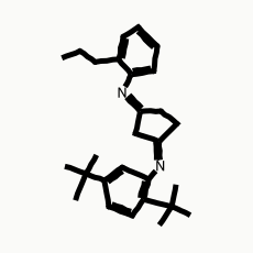 CCCc1ccccc1/N=C1\CC/C(=N/c2cc(C(C)(C)C)ccc2C(C)(C)C)C1